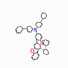 c1ccc(-c2ccc(N(c3ccc(-c4ccccc4)cc3)c3ccc4oc5c(-c6ccccc6-c6ccccc6)c6c(cc5c4c3)oc3ccccc36)cc2)cc1